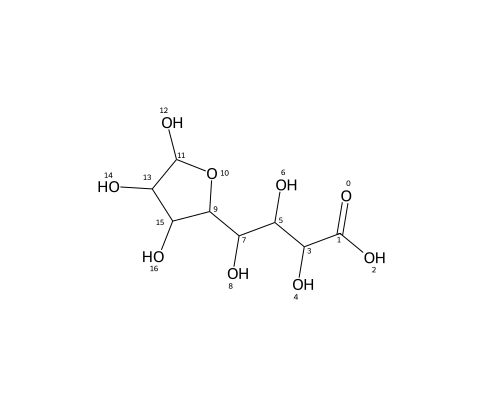 O=C(O)C(O)C(O)C(O)C1OC(O)C(O)C1O